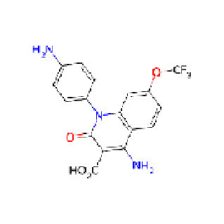 Nc1ccc(-n2c(=O)c(C(=O)O)c(N)c3ccc(OC(F)(F)F)cc32)cc1